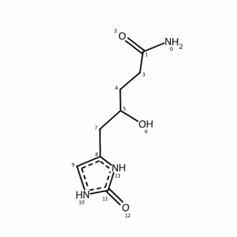 NC(=O)CCC(O)Cc1c[nH]c(=O)[nH]1